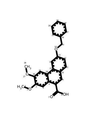 COc1cc2c(C(=O)O)cc3ccc(OCc4ccccc4)cc3c2cc1OC